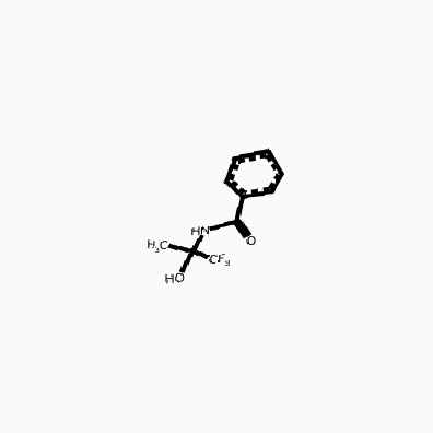 CC(O)(NC(=O)c1ccccc1)C(F)(F)F